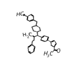 C#Cc1ccc(CC2CCC(C(C(=C)CCc3ccccc3)c3ccc(C4=CC=C(C(C)=O)C4)cc3)CC2)cc1